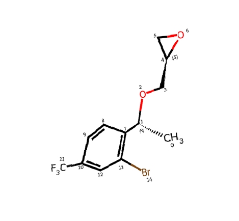 C[C@@H](OC[C@H]1CO1)c1ccc(C(F)(F)F)cc1Br